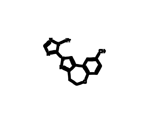 [CH]c1ccc2c(c1)-c1cn(-c3ncnn3C(C)C)nc1CCO2